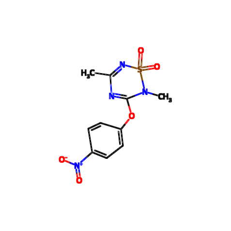 CC1=NS(=O)(=O)N(C)C(Oc2ccc([N+](=O)[O-])cc2)=N1